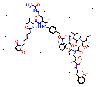 CC[C@H](C)[C@@H]([C@@H](CC(=O)N1CCC[C@H]1[C@H](OC)C(C)C(=O)N[C@H](CO)Cc1ccccc1)OC)N(C)C(=O)[C@@H](NC(=O)[C@@H]1[C@H]2CC[C@H](C2)N1C(=O)OCc1ccc(NC(=O)[C@H](CCCNC(N)=O)NC(=O)[C@@H](NC(=O)CCCCCN2C(=O)C=CC2=O)C(C)C)cc1)C(C)C